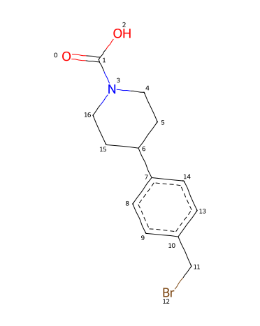 O=C(O)N1CCC(c2ccc(CBr)cc2)CC1